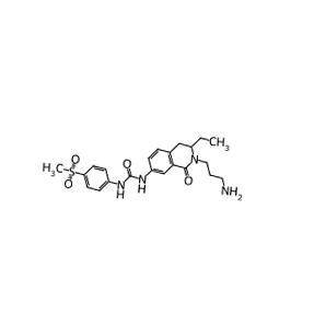 CCC1Cc2ccc(NC(=O)Nc3ccc(S(C)(=O)=O)cc3)cc2C(=O)N1CCCN